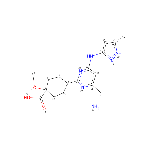 COC1(C(=O)O)CCC(c2nc(C)cc(Nc3cc(C)[nH]n3)n2)CC1.N